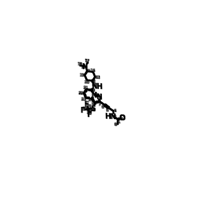 CC(=O)NCC#Cc1nn2c(NC3CCC(N(C)C)CC3)cccc2c1SC(F)(F)F